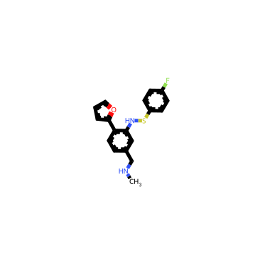 CNCc1ccc(-c2ccco2)c(NSc2ccc(F)cc2)c1